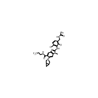 Cn1c(Nc2c(Cl)ccc(CNC(=O)C(C)(C)C)c2Cl)nc2cc(C(=O)NCCC(F)(F)F)c(N3CC4CC4C3)cc21